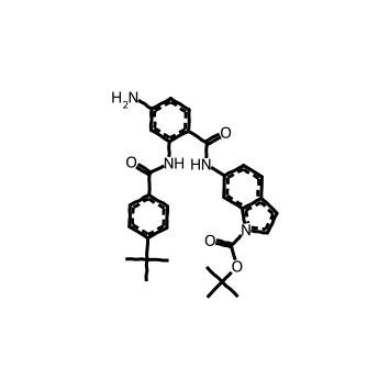 CC(C)(C)OC(=O)n1ccc2ccc(NC(=O)c3ccc(N)cc3NC(=O)c3ccc(C(C)(C)C)cc3)cc21